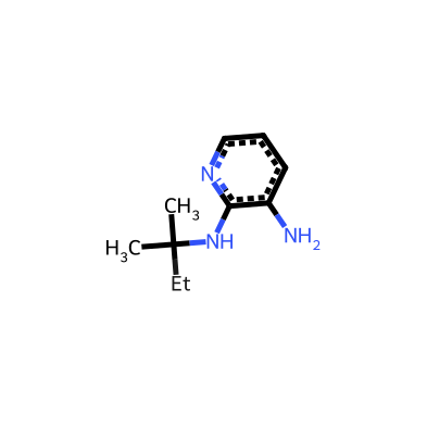 CCC(C)(C)Nc1ncccc1N